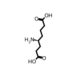 N[C@@H](CCCC(=O)O)CCC(=O)O